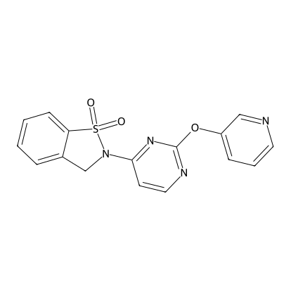 O=S1(=O)c2ccccc2CN1c1ccnc(Oc2cccnc2)n1